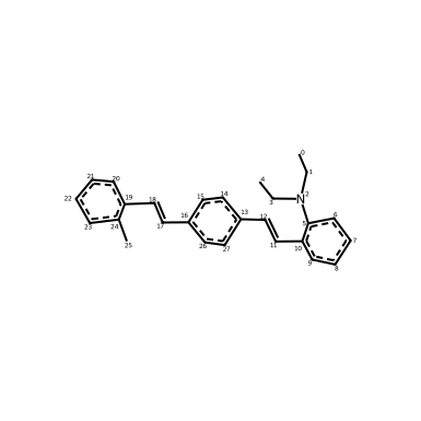 CCN(CC)c1ccccc1C=Cc1ccc(C=Cc2ccccc2C)cc1